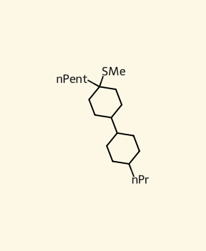 CCCCCC1(SC)CCC(C2CCC(CCC)CC2)CC1